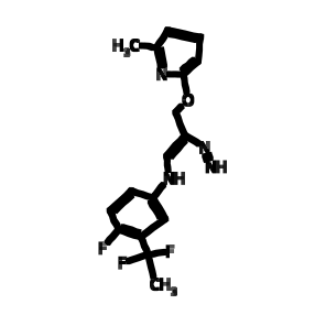 Cc1cccc(OC/C(=C/Nc2ccc(F)c(C(C)(F)F)c2)N=N)n1